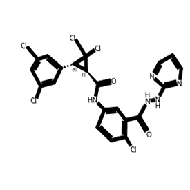 O=C(NNc1ncccn1)c1cc(NC(=O)[C@H]2[C@H](c3cc(Cl)cc(Cl)c3)C2(Cl)Cl)ccc1Cl